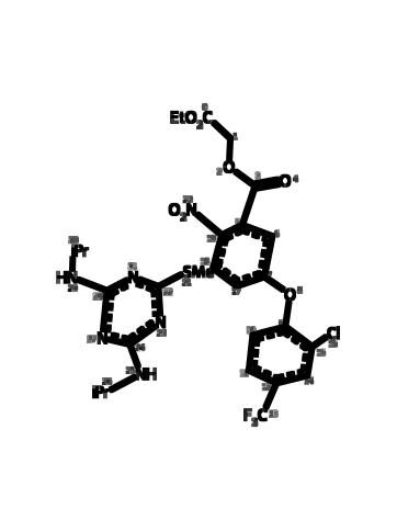 CCOC(=O)COC(=O)c1cc(Oc2ccc(C(F)(F)F)cc2Cl)ccc1[N+](=O)[O-].CSc1nc(NC(C)C)nc(NC(C)C)n1